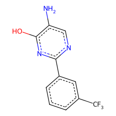 Nc1cnc(-c2cccc(C(F)(F)F)c2)nc1O